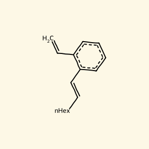 C=Cc1ccccc1C=CCCCCCC